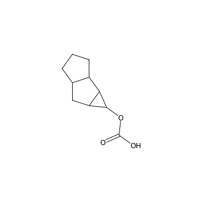 O=C(O)OC1C2CC3CCCC3C21